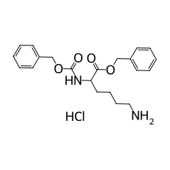 Cl.NCCCCC(NC(=O)OCc1ccccc1)C(=O)OCc1ccccc1